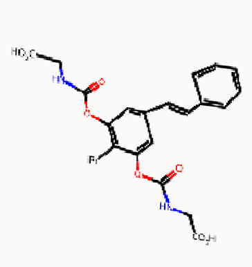 CC(C)c1c(OC(=O)NCC(=O)O)cc(/C=C/c2ccccc2)cc1OC(=O)NCC(=O)O